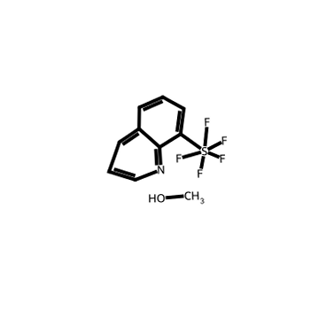 CO.FS(F)(F)(F)(F)c1cccc2cccnc12